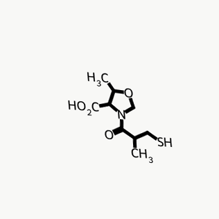 CC(CS)C(=O)N1COC(C)C1C(=O)O